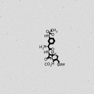 CSCC1=C(C(=O)O)N2C(=O)C(NC(=O)[C@H](N)c3cccc(NS(C)(=O)=O)c3)[C@@H]2SC1